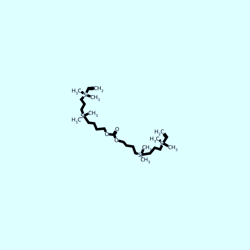 C=C[Si](C)(C)CCC[Si](C)(C)CCCCOC(=O)OCCCC[Si](C)(C)CCC[Si](C)(C)C=C